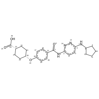 O=C(Nc1ccc(NC2CCCC2)nn1)c1ccc(O[C@H]2CC[C@@H](C(=O)O)CC2)cc1